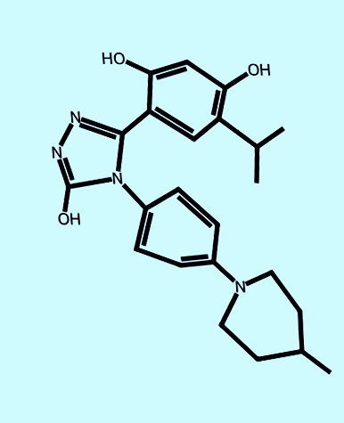 CC1CCN(c2ccc(-n3c(O)nnc3-c3cc(C(C)C)c(O)cc3O)cc2)CC1